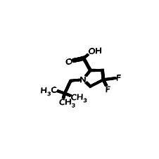 CC(C)(C)CN1CC(F)(F)CC1C(=O)O